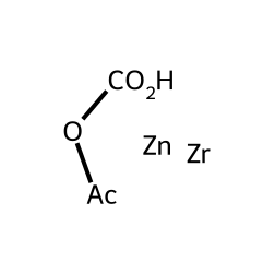 CC(=O)OC(=O)O.[Zn].[Zr]